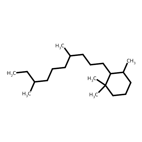 [CH2]CC(C)CCCC(C)CCCC1C(C)CCCC1(C)C